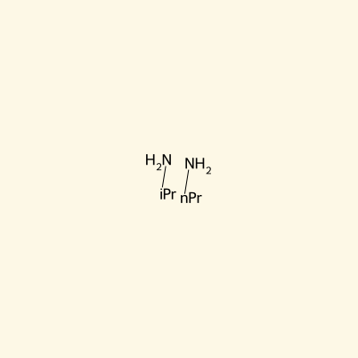 CC(C)N.CCCN